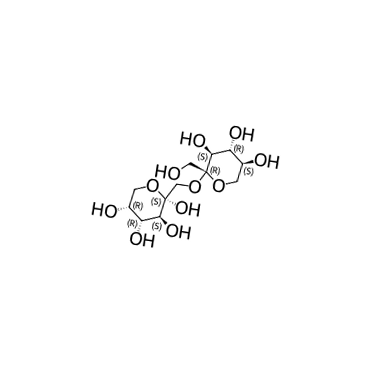 OC[C@]1(OC[C@]2(O)OC[C@@H](O)[C@@H](O)[C@@H]2O)OC[C@H](O)[C@@H](O)[C@@H]1O